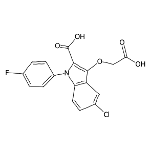 O=C(O)COc1c(C(=O)O)n(-c2ccc(F)cc2)c2ccc(Cl)cc12